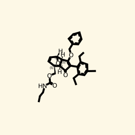 CCCNC(=O)OC[C@@]12C=C[C@@H](O1)[C@H]1C(OCc3ccccc3)=C(c3c(CC)cc(C)cc3CC)C(=O)[C@H]12